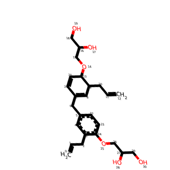 C=CCc1cc(CC2=CC(CC=C)C(OCC(O)CO)C=C2)ccc1OCC(O)CO